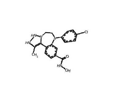 CC1=C2c3ccc(C(=O)NO)cc3N(c3ccc(Cl)cc3)CCN2NN1